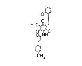 Cc1ccc(CCC(=O)Nc2c(Cl)n(CC#Cc3ccccc3O)c(=O)n(C)c2=O)cc1